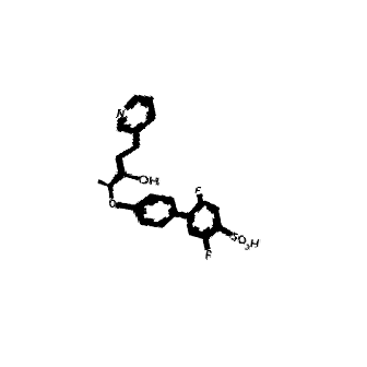 C[C@H](Oc1ccc(-c2cc(F)c(S(=O)(=O)O)cc2F)cc1)[C@H](O)CCc1cccnc1